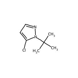 CC(C)(C)n1nccc1Cl